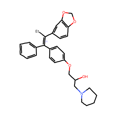 CC/C(=C(\c1ccccc1)c1ccc(OCC(O)CN2CCCCC2)cc1)c1ccc2c(c1)OCO2